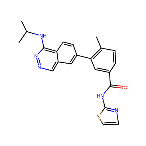 Cc1ccc(C(=O)Nc2nccs2)cc1-c1ccc2c(NC(C)C)nncc2c1